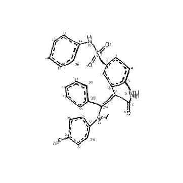 O=C1Nc2ccc(S(=O)(=O)Nc3ccccc3)cc2/C1=C(/Nc1ccc(F)cc1)c1ccccc1